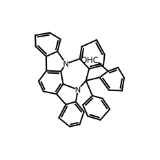 O=Cc1ccccc1C1(c2ccccc2)c2ccccc2-n2c3ccccc3c3ccc4c5ccccc5n1c4c32